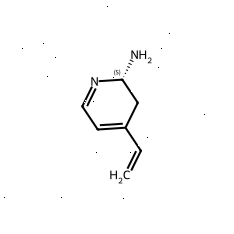 C=CC1=CC=N[C@H](N)C1